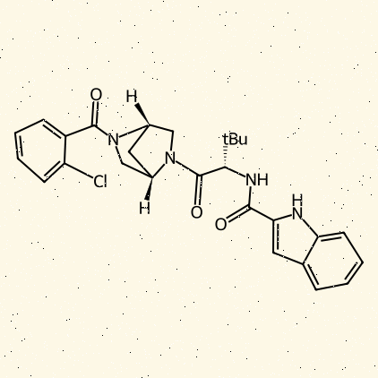 CC(C)(C)[C@H](NC(=O)c1cc2ccccc2[nH]1)C(=O)N1C[C@@H]2C[C@H]1CN2C(=O)c1ccccc1Cl